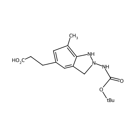 Cc1cc(CCC(=O)O)cc2c1NN(NC(=O)OC(C)(C)C)C2